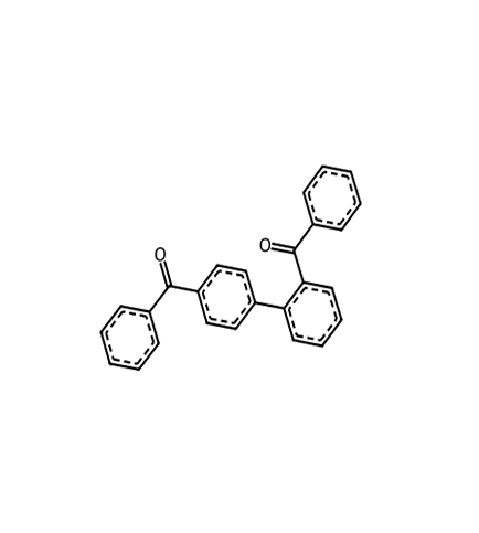 O=C(c1ccccc1)c1ccc(-c2ccccc2C(=O)c2ccccc2)cc1